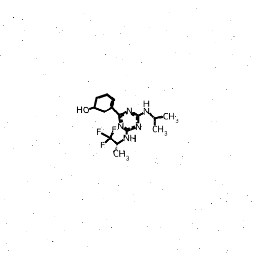 CC(C)Nc1nc(N[C@H](C)C(F)(F)F)nc(C2=CCCC(O)C2)n1